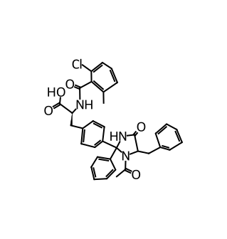 CC(=O)N1C(Cc2ccccc2)C(=O)NC1(c1ccccc1)c1ccc(C[C@H](NC(=O)c2c(C)cccc2Cl)C(=O)O)cc1